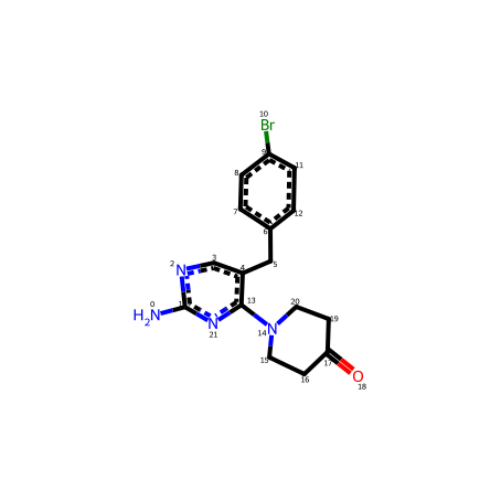 Nc1ncc(Cc2ccc(Br)cc2)c(N2CCC(=O)CC2)n1